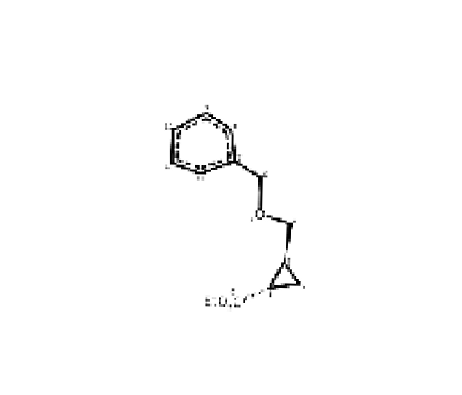 CCOC(=O)[C@H]1C[C@@H]1COCc1ccccc1